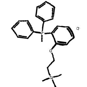 C[Si](C)(C)CCOc1ccccc1[P+](C)(c1ccccc1)c1ccccc1.[Cl-]